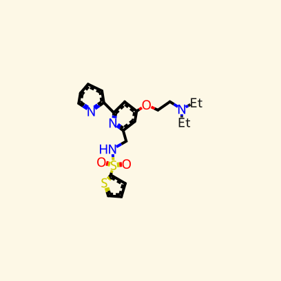 CCN(CC)CCOc1cc(CNS(=O)(=O)c2cccs2)nc(-c2ccccn2)c1